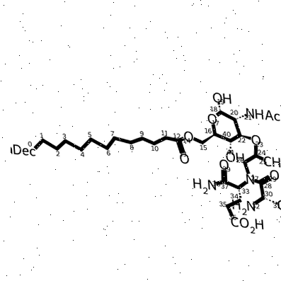 CCCCCCCCCCCCCCCCCCCCCC(=O)OC[C@H]1O[C@H](O)[C@H](NC(C)=O)[C@@H](OC(C)CN(C(=O)[C@H](C)N)[C@H](CCC(=O)O)C(N)=O)[C@@H]1O